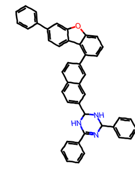 c1ccc(C2=NC(c3ccccc3)NC(c3ccc4ccc(-c5cccc6oc7cc(-c8ccccc8)ccc7c56)cc4c3)N2)cc1